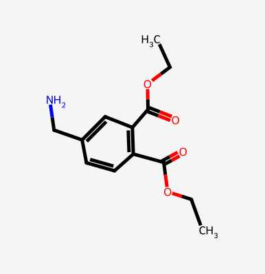 CCOC(=O)c1ccc(CN)cc1C(=O)OCC